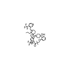 CCC[C@H]1N(Cc2cnccc2C(F)(F)F)CCC[C@@]1(Oc1csc(C(F)(F)F)c1)C(=O)N1CCC(O)(c2ccccc2OCC(C)(C)C(=O)O)CC1